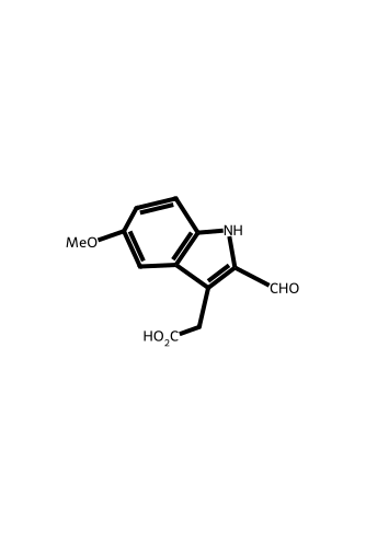 COc1ccc2[nH]c(C=O)c(CC(=O)O)c2c1